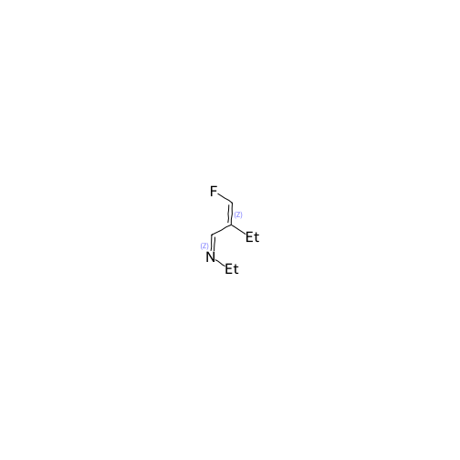 CC/N=C\C(=C/F)CC